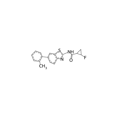 Cc1ccccc1-c1ccc2nc(NC(=O)C3CC3F)sc2c1